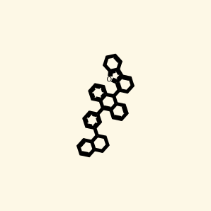 C1=CC2=C(c3cccc(C4CCCC5C=CC=CC54)c3)c3ccccc3C(C3=c4oc5c(c4=CCC3)C=CCC5)C2C=C1